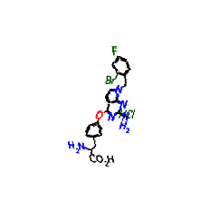 Cl.Nc1nc(Oc2ccc(C[C@H](N)C(=O)O)cc2)c2ccn(Cc3ccc(F)cc3Br)c2n1